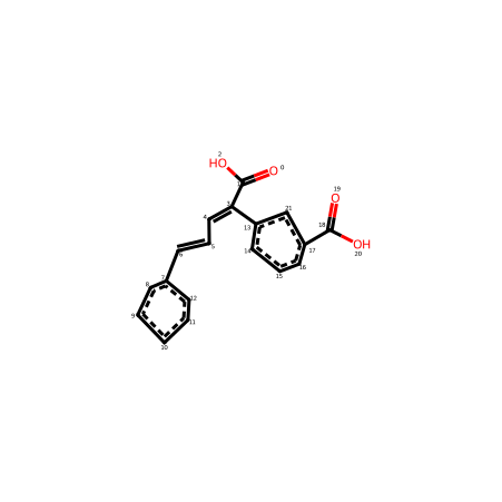 O=C(O)/C(=C/C=Cc1ccccc1)c1cccc(C(=O)O)c1